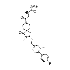 COC(=O)NCC(=O)N1CCC2(CC1)C[C@H](CCN1CCN(c3ccc(F)cc3)[C@@H](C)C1)N(C)C2=O